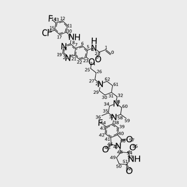 C=CC(=O)Nc1cc2c(Nc3ccc(F)c(Cl)c3)ncnc2cc1OCCCN1CCC(CN2CC(C)N(c3cc4c(cc3F)C(=O)N(C3CCC(=O)NC3=O)C4=O)C(C)C2)CC1